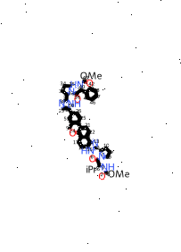 COC(=O)N[C@H](C(=O)N1CCC[C@H]1c1nc2c(ccc3c4c(ccc32)-c2ccc(-c3cnc(C5CCCN5C(=O)[C@H](NC(=O)OC)c5ccccc5)[nH]3)cc2CO4)[nH]1)C(C)C